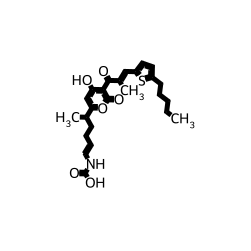 CCCCCc1ccc(/C=C(\C)C(=O)c2c(O)cc(C(C)CC/C=C/NC(=O)O)oc2=O)s1